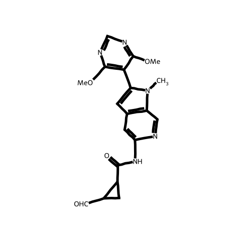 COc1ncnc(OC)c1-c1cc2cc(NC(=O)C3CC3C=O)ncc2n1C